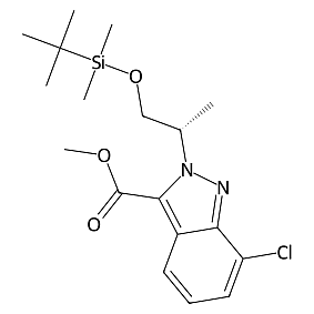 COC(=O)c1c2cccc(Cl)c2nn1[C@@H](C)CO[Si](C)(C)C(C)(C)C